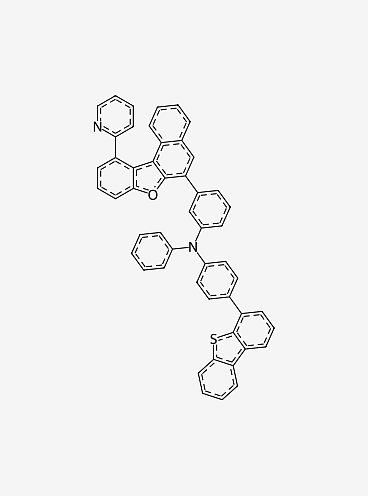 c1ccc(N(c2ccc(-c3cccc4c3sc3ccccc34)cc2)c2cccc(-c3cc4ccccc4c4c3oc3cccc(-c5ccccn5)c34)c2)cc1